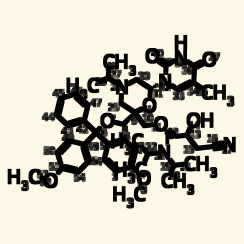 COc1ccc(C(OC[C@@]2(COP(C(O)CC#N)N(C(C)C)C(C)C)CN(C(C)C)C[C@H](n3cc(C)c(=O)[nH]c3=O)O2)(c2ccccc2)c2ccc(OC)cc2)cc1